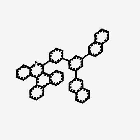 c1cc(-c2cc(-c3ccc4ccccc4c3)cc(-c3ccc4ccccc4c3)c2)cc(-c2nc3ccccc3c3c4ccccc4c4ccccc4c23)c1